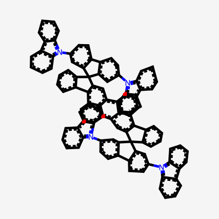 c1ccc2c(c1)-c1c(cc3c4cccc5c6c(cc(c7cccc1c73)c54)C1(c3cc(-n4c5ccccc5c5ccccc54)ccc3-c3ccc(-n4c5ccccc5c5ccccc54)cc31)c1ccccc1-6)C21c2cc(-n3c4ccccc4c4ccccc43)ccc2-c2ccc(-n3c4ccccc4c4ccccc43)cc21